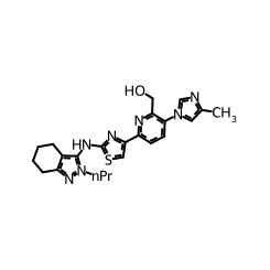 CCCn1nc2c(c1Nc1nc(-c3ccc(-n4cnc(C)c4)c(CO)n3)cs1)CCCC2